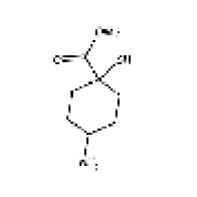 COC(=O)C1(S)CCC(N)CC1